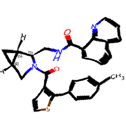 Cc1ccc(-c2sccc2C(=O)N2C[C@@H]3C[C@@H]3[C@H]2CNC(=O)c2cccc3cccnc23)cc1